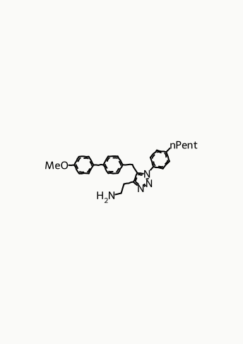 CCCCCc1ccc(-n2nnc(CCN)c2Cc2ccc(-c3ccc(OC)cc3)cc2)cc1